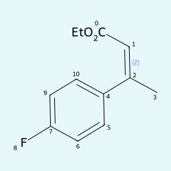 CCOC(=O)/C=C(/C)c1ccc(F)cc1